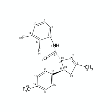 CC1=N[C@@H](C(=O)Nc2cccc(F)c2F)[C@H](c2ccc(C(F)(F)F)cc2)C1